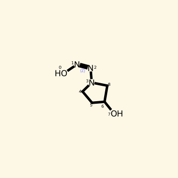 O/N=N\N1CCC(O)C1